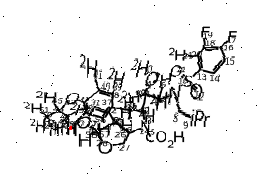 [2H]O[C@]([2H])(C([2H])([2H])N(CC(C)C)S(=O)(=O)c1ccc(F)c(F)c1[2H])[C@@]([2H])(N(C(=O)O)C1CO[C@@H]2OC=C[C@@H]12)C([2H])([2H])c1c([2H])c([2H])c(OC([2H])(C([2H])([2H])[2H])C([2H])([2H])[2H])c([2H])c1[2H]